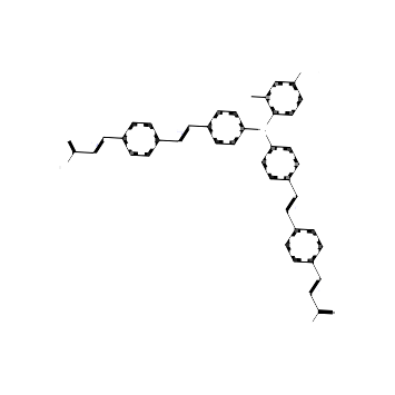 Cc1ccc(N(c2ccc(/C=C/c3ccc(/C=C/C(=O)O)cc3)cc2)c2ccc(/C=C/c3ccc(/C=C/C(=O)O)cc3)cc2)c(C)c1